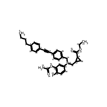 CCCCc1ccc(C#Cc2ccc(CN(CC3CC3C(=O)OCC)c3ccc(F)c(OC(N)=O)c3)cc2)cc1